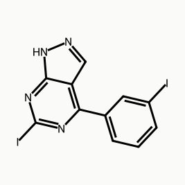 Ic1cccc(-c2nc(I)nc3[nH]ncc23)c1